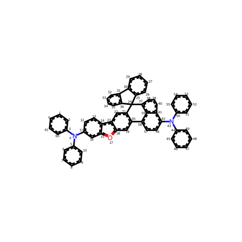 c1ccc(N(c2ccccc2)c2ccc3c(c2)oc2cc4c(cc23)C2(c3ccccc3-c3ccccc32)c2cccc3c(N(c5ccccc5)c5ccccc5)ccc-4c23)cc1